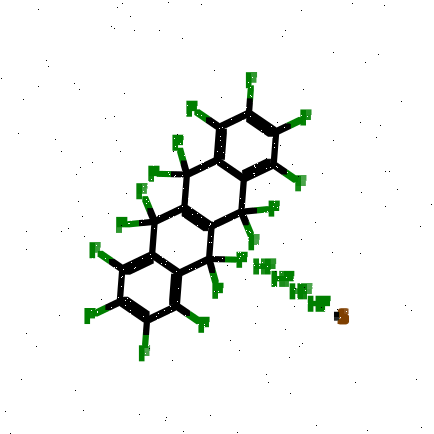 F.F.F.F.Fc1c(F)c(F)c2c(c1F)C(F)(F)C1=C(C2(F)F)C(F)(F)c2c(F)c(F)c(F)c(F)c2C1(F)F.[S]